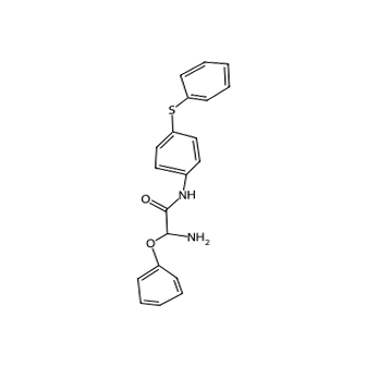 NC(Oc1ccccc1)C(=O)Nc1ccc(Sc2ccccc2)cc1